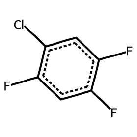 Fc1cc(F)c(Cl)cc1F